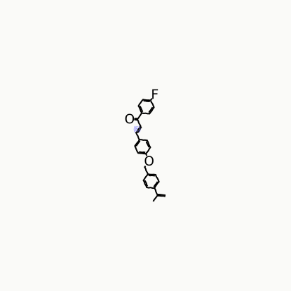 C=C(C)c1ccc(COc2ccc(/C=C/C(=O)c3ccc(F)cc3)cc2)cc1